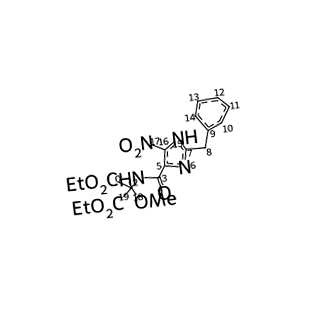 CCOC(=O)C(NC(=O)c1nc(Cc2ccccc2)[nH]c1[N+](=O)[O-])(OC)C(=O)OCC